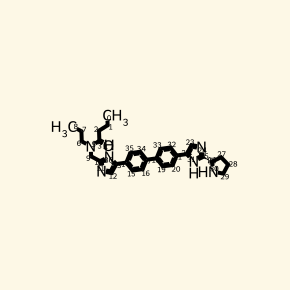 CCCC(=O)N(CCC)Cc1ncc(-c2ccc(-c3ccc(-c4cnc([C@@H]5CCCN5)[nH]4)cc3)cc2)[nH]1